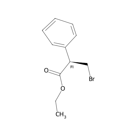 CCOC(=O)[C@H](CBr)c1ccccc1